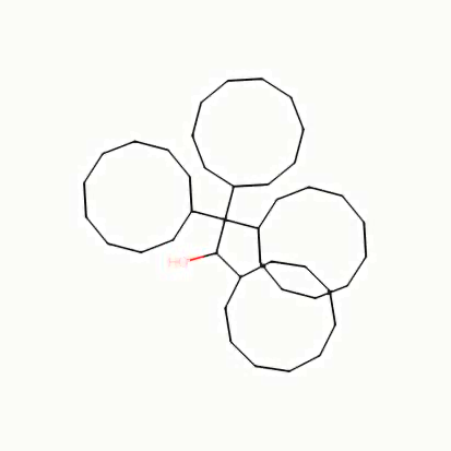 OC(C1CCCCCCCCC1)C(C1CCCCCCCCC1)(C1CCCCCCCCC1)C1CCCCCCCCC1